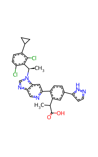 CC(C(=O)O)c1cc(-c2ccn[nH]2)ccc1-c1cc2c(cn1)ncn2[C@H](C)c1c(Cl)ccc(C2CC2)c1Cl